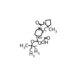 CC(C)(C)OC(=O)N1CC[C@H](C(=O)N2CCCC2(C)C)C[C@@H]1C(=O)O